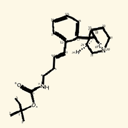 CC(C)(C)OC(=O)NCC/C=C/c1c[c]ccc1[C@@H]1CN2CCC1CC2